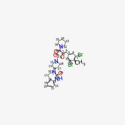 Cc1c(Br)cc(C[C@@H](OC(=O)N2CCC(N3CCc4ccccc4NC3=O)CC2)C(=O)N2CCCCC2)cc1Br